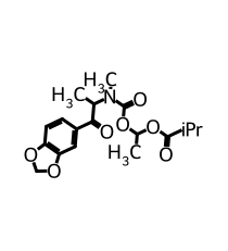 CC(OC(=O)C(C)C)OC(=O)N(C)C(C)C(=O)c1ccc2c(c1)OCO2